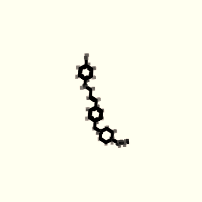 O=C(O)N1CCN(Cc2ccc(/C=C/COc3ccc(F)cc3)cc2)CC1